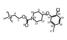 C[Si](C)(C)CCOC(=O)N1CCC(Oc2cc(I)ccc2Cl)CC1